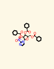 O=C(OC[C@H]1O[C@@H](n2ccnc2[N+](=O)[O-])[C@@H](OC(=O)c2ccccc2)[C@@H]1OC(=O)c1ccccc1)c1ccccc1